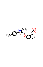 Cc1ccc(-c2nc(C)c(COc3ccc4c(c3)C(CC(=O)O)CCC4)s2)cc1